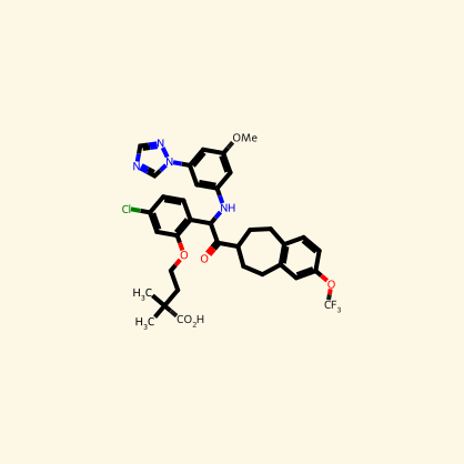 COc1cc(NC(C(=O)C2CCc3ccc(OC(F)(F)F)cc3CC2)c2ccc(Cl)cc2OCCC(C)(C)C(=O)O)cc(-n2cncn2)c1